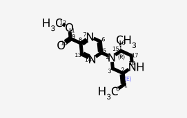 C/C=C1\CN(c2cnc(C(=O)OC)cn2)[C@H](C)CN1